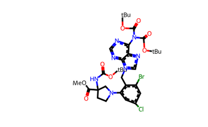 COC(=O)C1(NC(=O)OC(C)(C)C)CCN(c2cc(Cl)cc(Br)c2Cn2cnc3c(N(C(=O)OC(C)(C)C)C(=O)OC(C)(C)C)ncnc32)C1